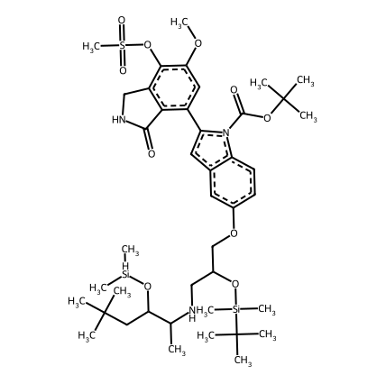 COc1cc(-c2cc3cc(OCC(CNC(C)C(CC(C)(C)C)O[SiH](C)C)O[Si](C)(C)C(C)(C)C)ccc3n2C(=O)OC(C)(C)C)c2c(c1OS(C)(=O)=O)CNC2=O